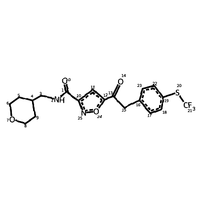 O=C(NCC1CCOCC1)c1cc(C(=O)Cc2ccc(SC(F)(F)F)cc2)on1